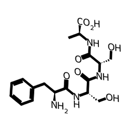 C[C@H](NC(=O)[C@H](CO)NC(=O)[C@H](CO)NC(=O)[C@@H](N)Cc1ccccc1)C(=O)O